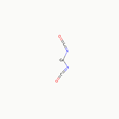 O=C=[N][Ge][N]=C=O